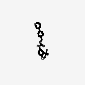 O=C(Nc1ccc(Cl)c(C(F)(F)F)c1)OCc1ccc(-c2cccnc2)cc1